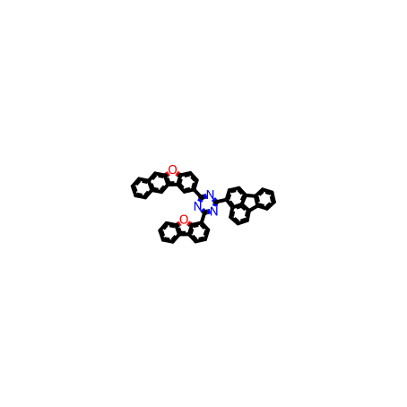 c1ccc2c(c1)-c1cccc3c(-c4nc(-c5ccc6oc7cc8ccccc8cc7c6c5)nc(-c5cccc6c5oc5ccccc56)n4)ccc-2c13